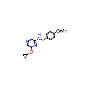 COc1ccc(CNc2cncc(OC3CC3)n2)cc1